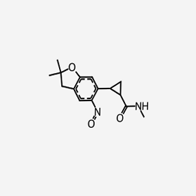 CNC(=O)C1CC1c1cc2c(cc1N=O)CC(C)(C)O2